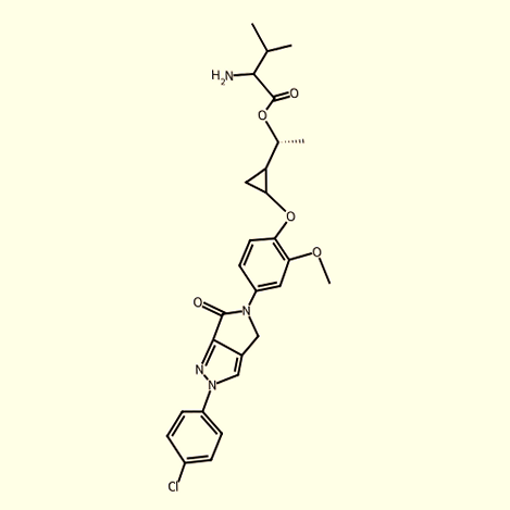 COc1cc(N2Cc3cn(-c4ccc(Cl)cc4)nc3C2=O)ccc1OC1CC1[C@@H](C)OC(=O)C(N)C(C)C